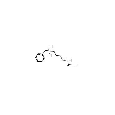 CCC(C)C(=O)NCCCC[N+](C)(C)Cc1ccccc1